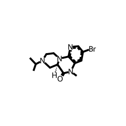 CC(C)N1CCN2c3ncc(Br)cc3N(C)C(=O)[C@H]2C1